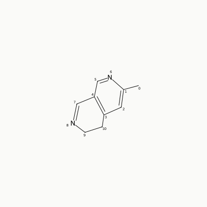 Cc1cc2c(cn1)C=NCC2